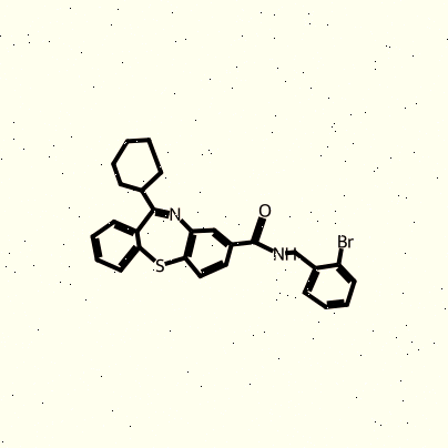 O=C(NCc1ccccc1Br)c1ccc2c(c1)N=C(C1CCCCC1)c1ccccc1S2